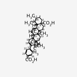 C[C@H]1[C@H](C)CC[C@]2(C(=O)O)CC[C@]3(C)C(=CC[C@@H]4[C@@]5(C)CC=C(c6ccc(C(=O)O)cc6)C(C)(C)[C@@H]5CC[C@]43C)[C@H]12